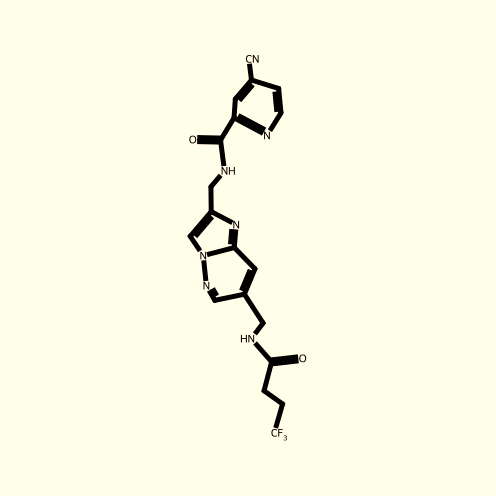 N#Cc1ccnc(C(=O)NCc2cn3ncc(CNC(=O)CCC(F)(F)F)cc3n2)c1